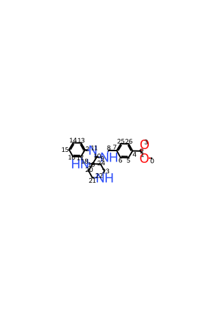 COC(=O)c1ccc(CNC2=Nc3ccccc3NC23CCNCC3)cc1